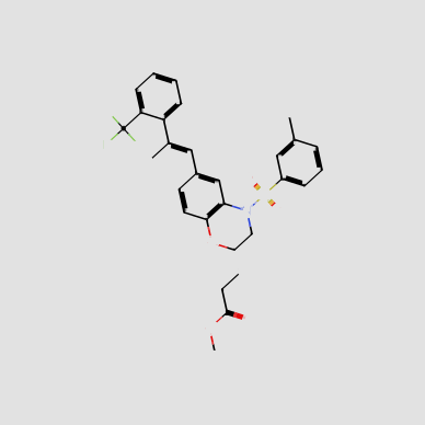 COC(=O)CC[C@H]1CN(S(=O)(=O)c2cccc(C)c2)c2cc(/C=C(\C)c3ccccc3C(F)(F)F)ccc2O1